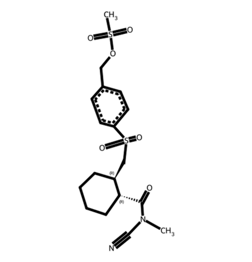 CN(C#N)C(=O)[C@@H]1CCCC[C@H]1CS(=O)(=O)c1ccc(COS(C)(=O)=O)cc1